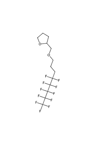 FC(F)(F)C(F)(F)C(F)(F)C(F)(F)C(F)(F)CCCOCC1CCCO1